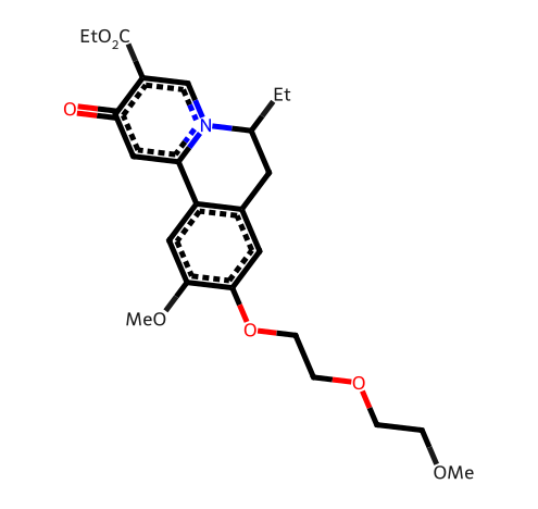 CCOC(=O)c1cn2c(cc1=O)-c1cc(OC)c(OCCOCCOC)cc1CC2CC